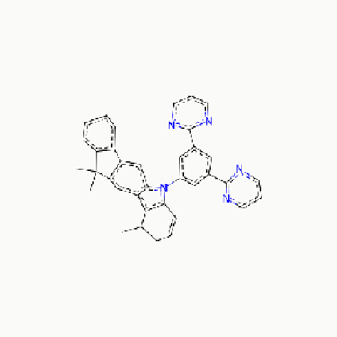 CC1CC=Cc2c1c1cc3c(cc1n2-c1cc(-c2ncccn2)cc(-c2ncccn2)c1)-c1ccccc1C3(C)C